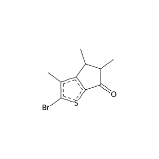 Cc1c(Br)sc2c1C(C)C(C)C2=O